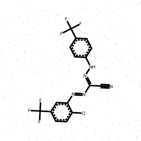 N#CC(N=Nc1cc(C(F)(F)F)ccc1Cl)=NNc1ccc(C(F)(F)F)cc1